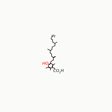 C=C(CCCC(C)CCCC(C)CCCC(C)C)CCc1c(C)c(CC(=O)O)c(C)c(C)c1O